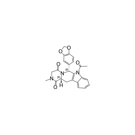 CC(=O)n1c2c(c3ccccc31)C[C@@H]1C(=O)N(C)CC(=O)N1[C@@H]2c1ccc2c(c1)OCO2